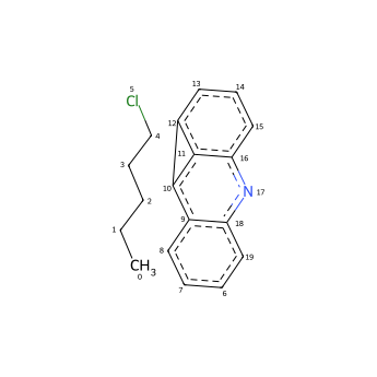 CCCCCCl.c1ccc2c3c4c-3cccc4nc2c1